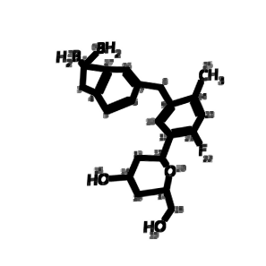 BC1(B)Cc2ccc(Cc3cc(C4CC(O)CC(CO)O4)c(F)cc3C)cc21